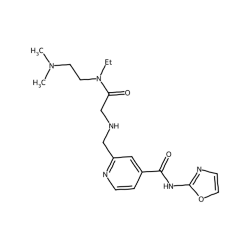 CCN(CCN(C)C)C(=O)CNCc1cc(C(=O)Nc2ncco2)ccn1